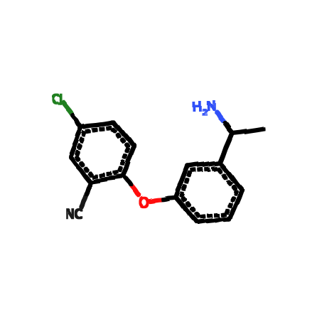 CC(N)c1cccc(Oc2ccc(Cl)cc2C#N)c1